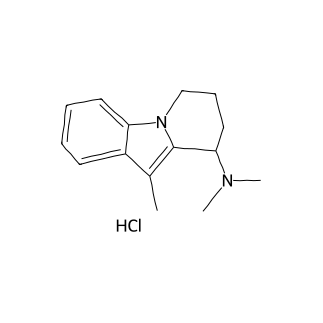 Cc1c2n(c3ccccc13)CCCC2N(C)C.Cl